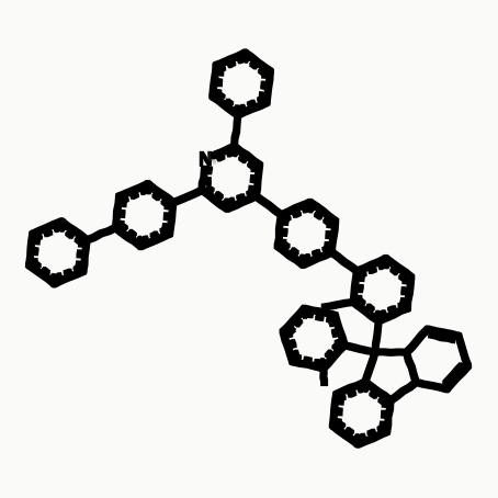 Cc1ccccc1C1(c2cccc(-c3ccc(-c4cc(-c5ccccc5)nc(-c5ccc(-c6ccccc6)cc5)c4)cc3)c2C)c2ccccc2C2C=CC=CC21